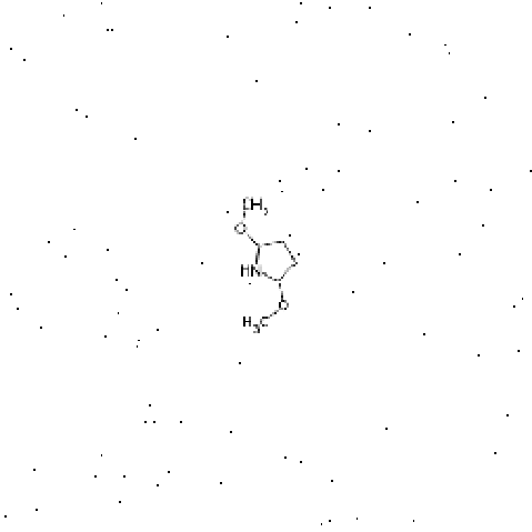 COC1CCC(OC)N1